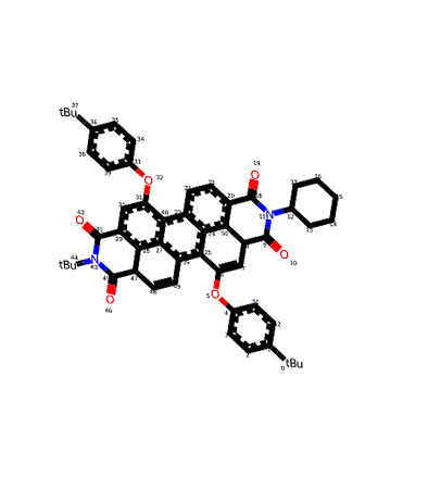 CC(C)(C)c1ccc(OC2=CC3C(=O)N(C4CCCCC4)C(=O)c4ccc5c(c2c2c6c7c(cc(Oc8ccc(C(C)(C)C)cc8)c65)C(=O)N(C(C)(C)C)C(=O)C7C=C2)c43)cc1